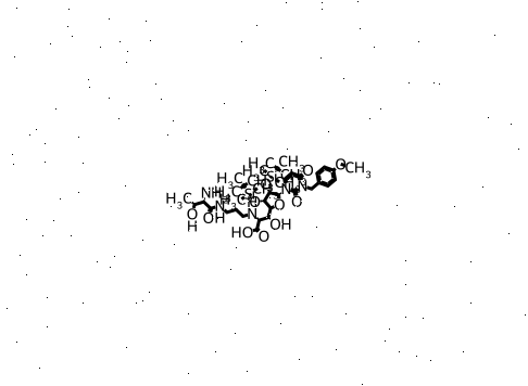 COc1ccc(Cn2c(=O)ccn([C@@H]3OC([C@H](O)[C@H](NCCCNC(=O)[C@@H](N)[C@H](C)O)C(=O)O)[C@@H](O[Si](C)(C)C(C)(C)C)[C@H]3O[Si](C)(C)C(C)(C)C)c2=O)cc1